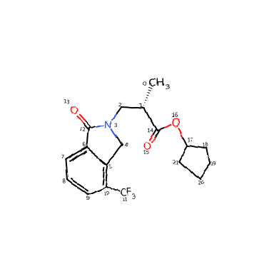 C[C@@H](CN1Cc2c(cccc2C(F)(F)F)C1=O)C(=O)OC1CCCC1